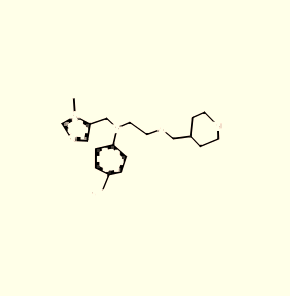 Cn1cncc1CN(CCNCC1CCNCC1)c1ccc(C#N)cc1